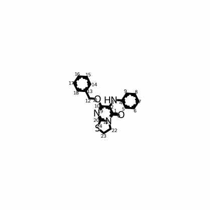 O=c1c(Nc2ccccc2)c(OCc2ccccc2)nc2n1CCS2